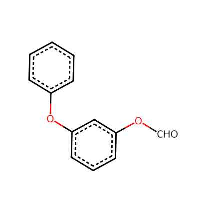 O=COc1cccc(Oc2ccccc2)c1